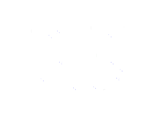 Cn1cc(CNc2c(C#N)cnc3c(N[C@@H](c4ccccc4)c4cn(C5CCN(C(C)(C)C)CC5)nn4)cc(Cl)cc23)cn1